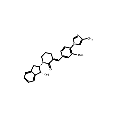 COc1cc(/C=C2\CCCN([C@H]3Cc4ccccc4[C@H]3O)C2=O)ccc1-n1cnc(C)c1